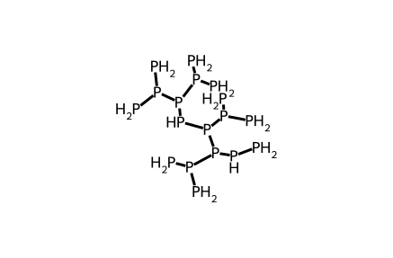 PPP(P(P)P)P(PP(P(P)P)P(P)P)P(P)P